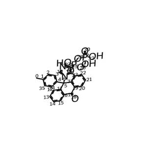 Cc1ccc(C2(n3ccnc3)c3ccccc3C(=O)c3cccc(OP(=O)(O)OP(=O)(O)O)c32)cc1